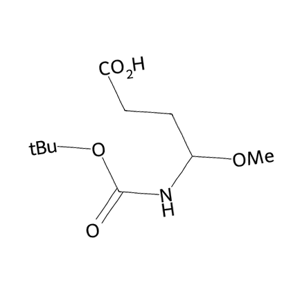 COC(CCC(=O)O)NC(=O)OC(C)(C)C